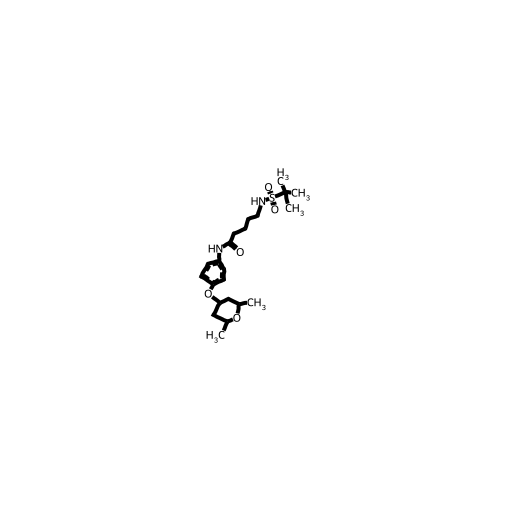 CC1CC(Oc2ccc(NC(=O)CCCCNS(=O)(=O)C(C)(C)C)cc2)CC(C)O1